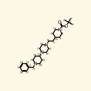 CC(C)(C)OC(=O)N1CCC(CCN2CCN(C3CCN(Cc4ccccc4)CC3)CC2)CC1